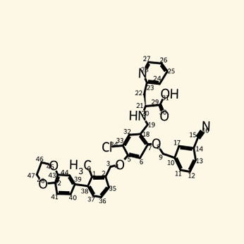 Cc1c(COc2cc(OCc3cccc(C#N)c3)c(CN[C@@H](Cc3ccccn3)C(=O)O)cc2Cl)cccc1-c1ccc2c(c1)OCCO2